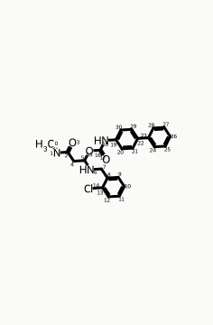 C[N]C(=O)CC(NCc1ccccc1Cl)OC(=O)Nc1ccc(-c2ccccc2)cc1